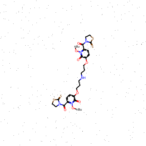 CCCCOn1c(C(=O)N2CCSC2=S)ccc(OCCCNCCCOc2ccc(C(=O)N3CCSC3=S)n(OCCCC)c2=O)c1=O